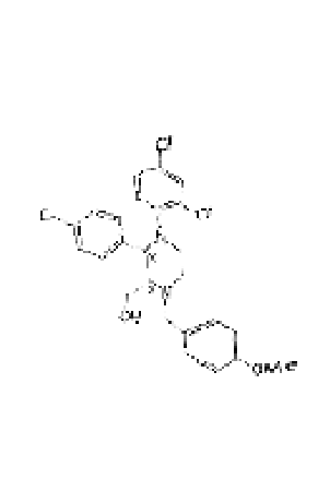 COc1ccc(CN2CCN(c3ccc(Cl)cc3Cl)[C@@H](c3ccc(Cl)cc3)[C@H]2CO)cc1